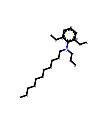 CCCCCCCCCCCN(CCC)c1c(CC)cccc1CC